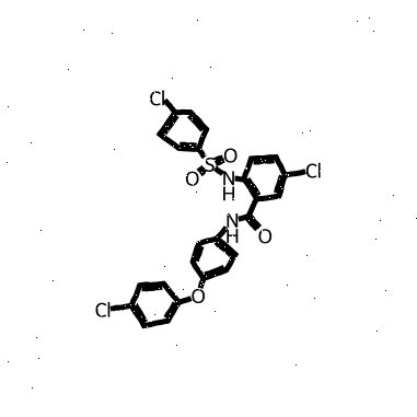 O=C(Nc1ccc(Oc2ccc(Cl)cc2)cc1)c1cc(Cl)ccc1NS(=O)(=O)c1ccc(Cl)cc1